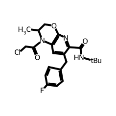 CC1COc2nc(C(=O)NC(C)(C)C)c(Cc3ccc(F)cc3)cc2N1C(=O)CCl